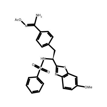 COc1ccc2nc([C@H](Cc3ccc(C(N)=NOC(C)=O)cc3)NS(=O)(=O)c3ccccc3)sc2c1